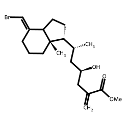 C=C(C[C@H](O)C[C@@H](C)[C@H]1CCC2C(=CBr)CCC[C@]21C)C(=O)OC